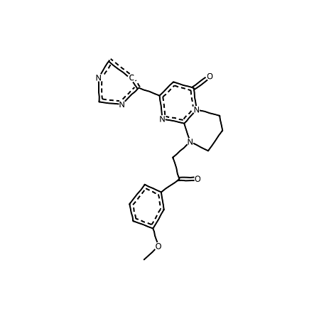 COc1cccc(C(=O)CN2CCCn3c2nc(-c2ccncn2)cc3=O)c1